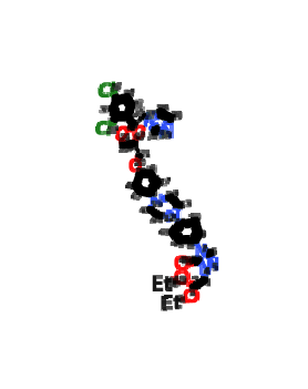 CCOC(Cn1ncn(-c2ccc(N3CCN(c4ccc(OC[C@@H]5CO[C@@](Cn6ccnc6)(c6ccc(Cl)cc6Cl)O5)cc4)CC3)cc2)c1=O)OCC